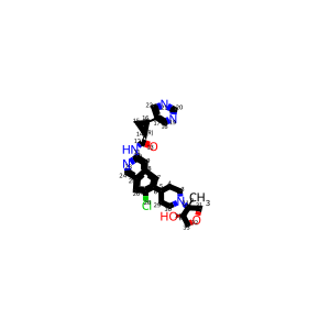 C[C@]1(N2CCC(c3cc4cc(NC(=O)[C@@H]5C[C@H]5c5cncnc5)ncc4cc3Cl)CC2)COC[C@H]1O